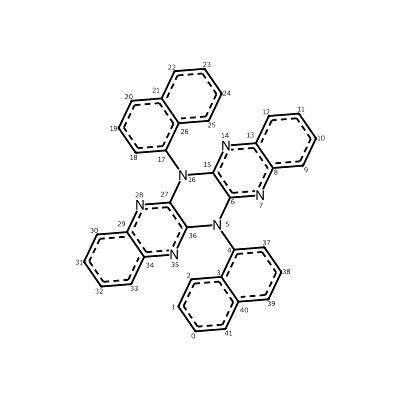 c1ccc2c(N3c4nc5ccccc5nc4N(c4cccc5ccccc45)c4nc5ccccc5nc43)cccc2c1